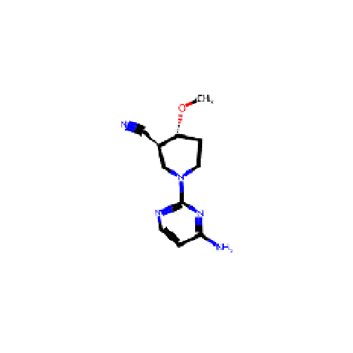 CO[C@@H]1CCN(c2nccc(N)n2)C[C@H]1C#N